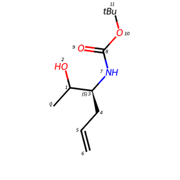 [CH2]C(O)[C@H](CC=C)NC(=O)OC(C)(C)C